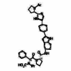 CC(=O)N1CCCC1c1ncc(-c2ccc(-c3cc4cc(NC(=O)[C@@H]5CCCN5C(=O)[C@@H](c5ccccc5)N(C(=O)O)C(C)C)ccc4[nH]3)cc2)[nH]1